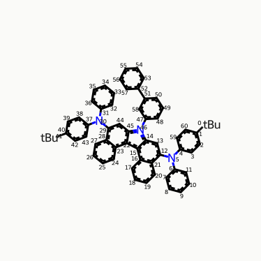 CC(C)(C)c1ccc(N(c2ccccc2)c2cc3c(c4ccccc24)c2c4ccccc4c(N(c4ccccc4)c4ccc(C(C)(C)C)cc4)cc2n3-c2cccc(-c3ccccc3)c2)cc1